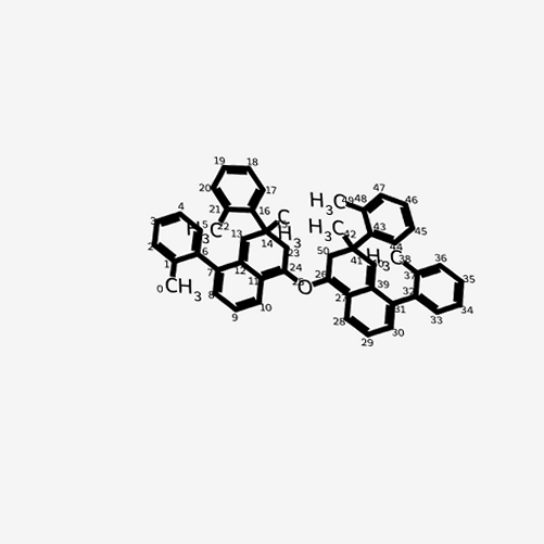 Cc1ccccc1-c1cccc2c1=CC(C)(c1ccccc1C)CC=2OC1=c2cccc(-c3ccccc3C)c2=CC(C)(c2ccccc2C)C1